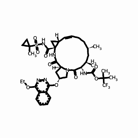 CCOc1nnc(O[C@@H]2C[C@H]3C(=O)N[C@]4(C(=O)NS(=O)(=O)C5(C)CC5)C[C@@H]4/C=C\CC[C@H](C)C[C@@H](C)[C@H](NC(=O)OC(C)(C)C(F)(F)F)C(=O)N3C2)c2ccccc12